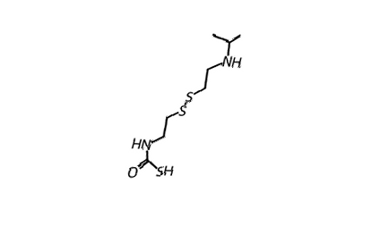 CC(C)NCCSSCCNC(=O)S